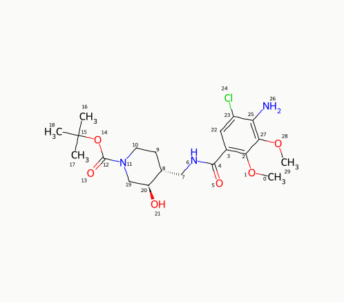 COc1c(C(=O)NC[C@H]2CCN(C(=O)OC(C)(C)C)C[C@@H]2O)cc(Cl)c(N)c1OC